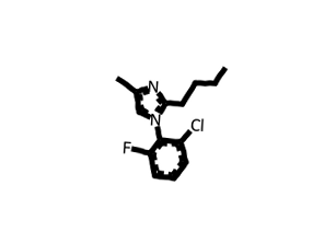 CCCCc1nc(C)cn1-c1c(F)cccc1Cl